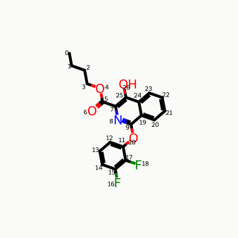 CCCCOC(=O)c1nc(Oc2cccc(F)c2F)c2ccccc2c1O